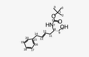 CC(C)(C)OC(=O)N[C@H](CO)C/C=C/Cc1ccccc1